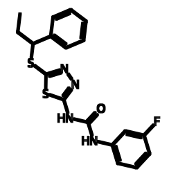 CCC(Sc1nnc(NC(=O)Nc2cccc(F)c2)s1)c1ccccc1